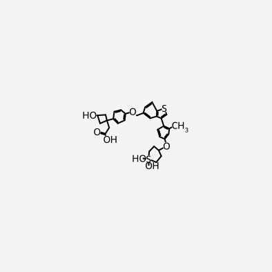 Cc1cc(OC2CCS(O)(O)CC2)ccc1-c1csc2ccc(COc3ccc(C4(CC(=O)O)CC(O)C4)cc3)cc12